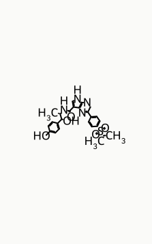 CC(C)S(=O)(=O)c1ccc(-c2cnc3[nH]cc(C(=O)N[C@H](C)C(O)c4ccc(O)cc4)c3n2)cc1